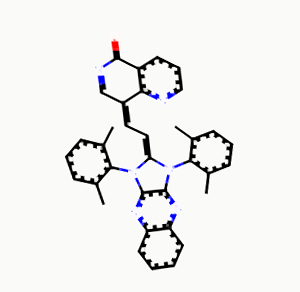 Cc1cccc(C)c1N1C(=C/C=C2/C=NC(=O)c3cccnc32)N(c2c(C)cccc2C)c2nc3ccccc3nc21